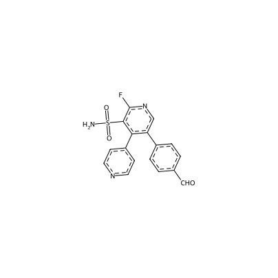 NS(=O)(=O)c1c(F)ncc(-c2ccc(C=O)cc2)c1-c1ccncc1